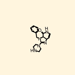 O=C1NC=CC2N=C(N3CCNCC3)N(Cc3ccccc3)C12